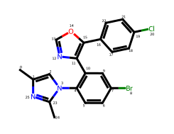 Cc1cn(-c2ccc(Br)cc2-c2ncoc2-c2ccc(Cl)cc2)c(C)n1